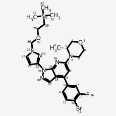 C[C@@H]1COCCN1c1cc(-c2ccc(Br)c(F)c2)c2cnn(-c3ccn(COCC[Si](C)(C)C)n3)c2n1